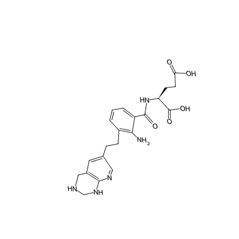 Nc1c(CCc2cnc3c(c2)CNCN3)cccc1C(=O)N[C@@H](CCC(=O)O)C(=O)O